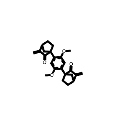 C=C1C(=O)C2(c3cc(OC)c(C45CCC(C4)C(=C)C5=O)cc3OC)CCC1C2